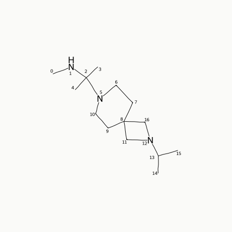 CNC(C)(C)N1CCC2(CC1)CN(C(C)C)C2